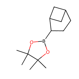 CC1(C)OB(C2CCC3CC2C3)OC1(C)C